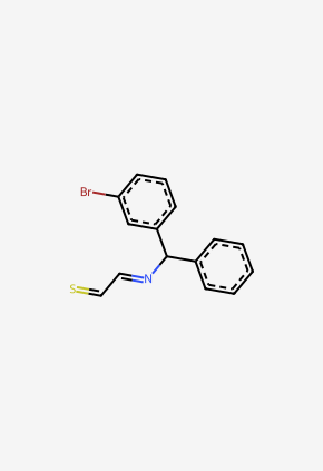 S=CC=NC(c1ccccc1)c1cccc(Br)c1